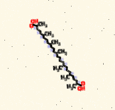 CC(/C=C/C=C(C)/C=C/C=C(C)/C=C/C=C(\C)C(=O)O)=C\C=C\C=C(C)\C=C\C=C(C)\C=C\C=C(/C)C(=O)O